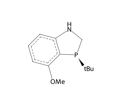 COc1cccc2c1[P@](C(C)(C)C)CN2